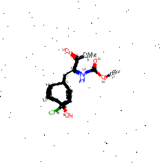 COC(=O)[C@H](CC1C=CC(O)(Cl)C=C1)NC(=O)OC(C)(C)C